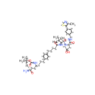 Cc1ncsc1-c1ccc(CNC(=O)[C@@H]2C[C@@H](O)CN2C(=O)[C@@H](NC(=O)CCCCc2ccc(CCC[C@H](CCC(N)=O)NC(=O)OC(C)(C)C)cc2)C(C)(C)C)cc1